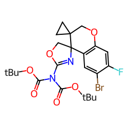 CC(C)(C)OC(=O)N(C(=O)OC(C)(C)C)C1=NC2(CO1)c1cc(Br)c(F)cc1OCC21CC1